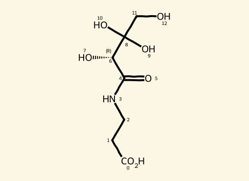 O=C(O)CCNC(=O)[C@H](O)C(O)(O)CO